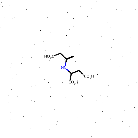 CC(CC(=O)O)NC(CC(=O)O)C(=O)O